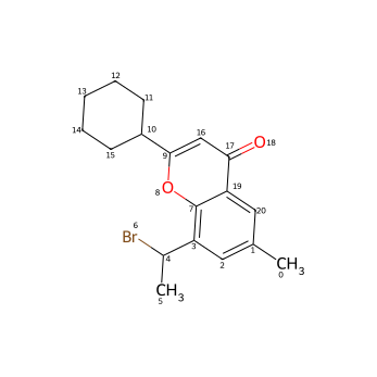 Cc1cc(C(C)Br)c2oc(C3CCCCC3)cc(=O)c2c1